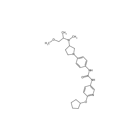 COCC(C)N(C)C1CCN(c2ccc(NC(=O)Nc3ccc(OC4CCCC4)nc3)cc2)C1